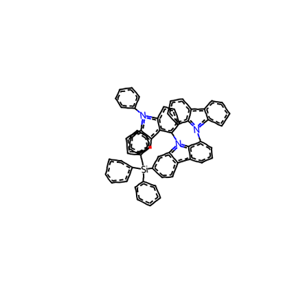 c1ccc(-n2c3ccccc3c3c(-n4c5cc([Si](c6ccccc6)(c6ccccc6)c6ccccc6)ccc5c5cccc(-n6c7ccccc7c7ccccc76)c54)cccc32)cc1